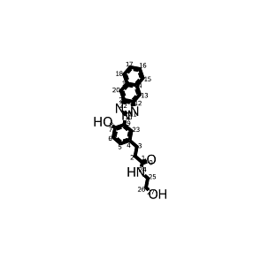 O=C(CCc1ccc(O)c(-n2nc3cc4ccccc4cc3n2)c1)NCCO